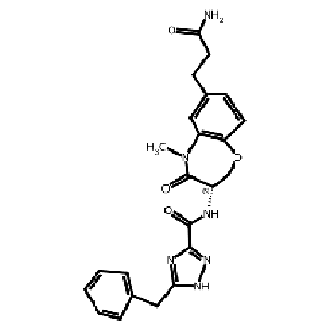 CN1C(=O)[C@@H](NC(=O)c2n[nH]c(Cc3ccccc3)n2)COc2ccc(CCC(N)=O)cc21